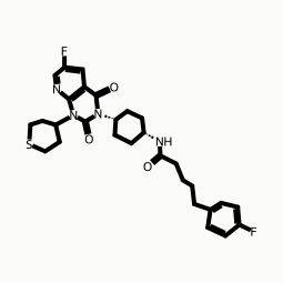 O=C(CCCCc1ccc(F)cc1)N[C@H]1CC[C@@H](n2c(=O)c3cc(F)cnc3n(C3CCSCC3)c2=O)CC1